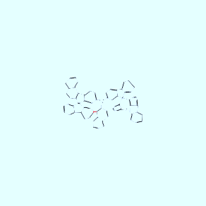 c1ccc2c(c1)-c1ccccc1C21c2cc(N(c3ccc4c(c3)C3(c5ccccc5-4)c4ccccc4-n4c5ccccc5c5cccc3c54)c3ccc4ccccc4c3)ccc2-c2c1ccc1ccccc21